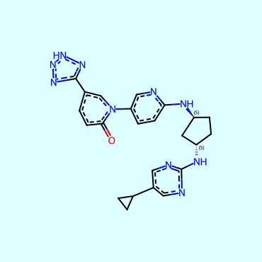 O=c1ccc(-c2nn[nH]n2)cn1-c1ccc(N[C@H]2CC[C@H](Nc3ncc(C4CC4)cn3)C2)nc1